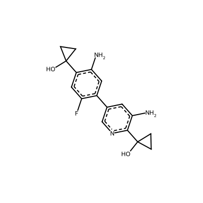 Nc1cc(-c2cnc(C3(O)CC3)c(N)c2)c(F)cc1C1(O)CC1